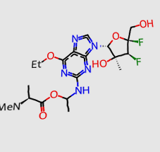 CCOc1nc(NC(C)OC(=O)[C@H](C)NC)nc2c1ncn2[C@@H]1O[C@](F)(CO)[C@@H](F)[C@@]1(C)O